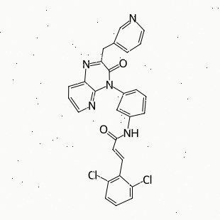 O=C(/C=C/c1c(Cl)cccc1Cl)Nc1cccc(-n2c(=O)c(Cc3cccnc3)nc3cccnc32)c1